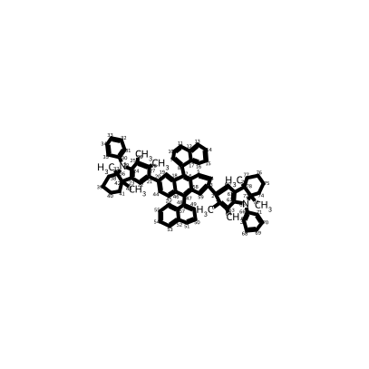 Cc1c(-c2ccc3c(-c4cccc5ccccc45)c4cc(-c5cc6c(c(C)c5C)N(c5ccccc5)C5(C)CCCCC65C)ccc4c(-c4cccc5ccccc45)c3c2)cc2c(c1C)N(c1ccccc1)C1(C)CCCCC21C